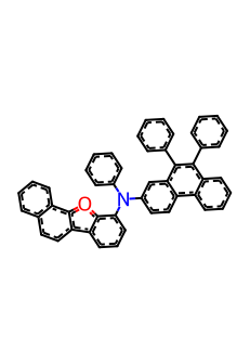 c1ccc(-c2c(-c3ccccc3)c3cc(N(c4ccccc4)c4cccc5c4oc4c6ccccc6ccc54)ccc3c3ccccc23)cc1